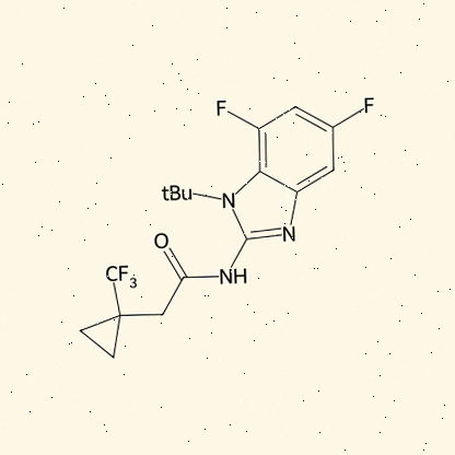 CC(C)(C)n1c(NC(=O)CC2(C(F)(F)F)CC2)nc2cc(F)cc(F)c21